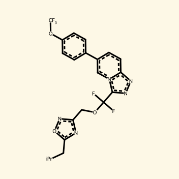 CC(C)Cc1nc(COC(F)(F)c2nnc3ccc(-c4ccc(OC(F)(F)F)cc4)cn23)no1